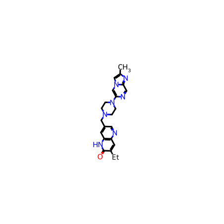 CCc1cc2ncc(CN3CCN(c4cn5cc(C)nc5cn4)CC3)cc2[nH]c1=O